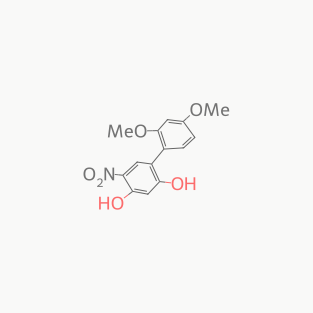 COc1ccc(-c2cc([N+](=O)[O-])c(O)cc2O)c(OC)c1